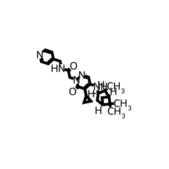 C[C@H]1[C@H]2C[C@H](C[C@H]1Nc1cnn(CC(=O)NCc3ccncc3)c(=O)c1C1CC1)C2(C)C